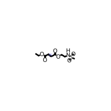 CCOC(=O)/C=C/C(=O)OCCNS(C)(=O)=O